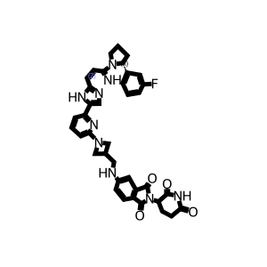 N=C(/C=C\c1ncc(-c2cccc(N3CC(CNc4ccc5c(c4)C(=O)N(C4CCC(=O)NC4=O)C5=O)C3)n2)[nH]1)N1CCC[C@@H]1c1cccc(F)c1